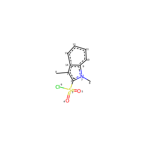 Cc1c(S(=O)(=O)Cl)n(C)c2ccccc12